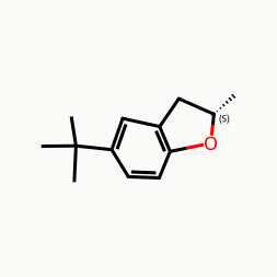 C[C@H]1Cc2cc(C(C)(C)C)ccc2O1